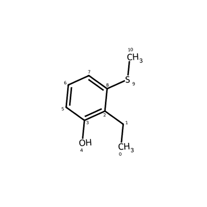 CCc1c(O)cccc1SC